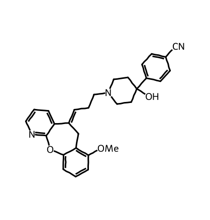 COc1cccc2c1CC(=CCCN1CCC(O)(c3ccc(C#N)cc3)CC1)c1cccnc1O2